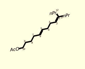 CCCC(=CCCC=CCCCCOC(C)=O)CCC